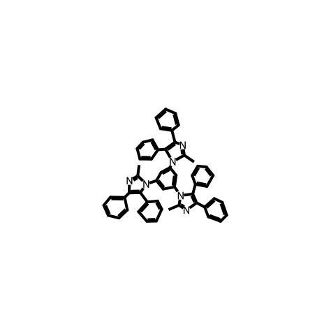 Cc1nc(-c2ccccc2)c(-c2ccccc2)n1-c1cc(-n2c(C)nc(-c3ccccc3)c2-c2ccccc2)cc(-n2c(C)nc(-c3ccccc3)c2-c2ccccc2)c1